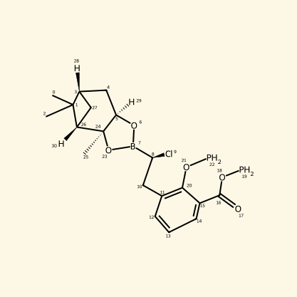 CC1(C)[C@@H]2C[C@H]3OB([C@@H](Cl)Cc4cccc(C(=O)OP)c4OP)O[C@@]3(C)[C@H]1C2